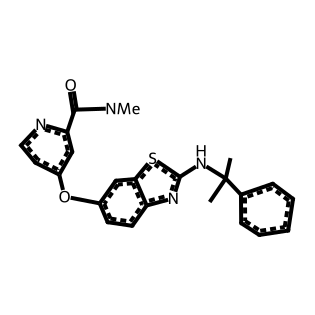 CNC(=O)c1cc(Oc2ccc3nc(NC(C)(C)c4ccccc4)sc3c2)ccn1